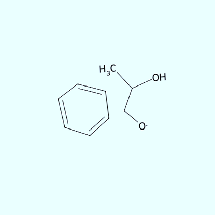 CC(O)C[O].c1ccccc1